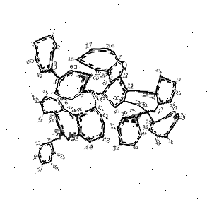 c1ccc(-c2ccc(N(c3cc4c(c5oc6ccccc6c35)-c3ccccc3C4(c3ccccc3)c3ccccc3)c3cccc4c3c3ccccc3n4-c3ccccc3)cc2)cc1